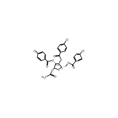 CC(=O)OC1S[C@@H](COC(=O)c2ccc(Cl)cc2)[C@H](OC(=O)c2ccc(Cl)cc2)[C@H]1OC(=O)c1ccc(Cl)cc1